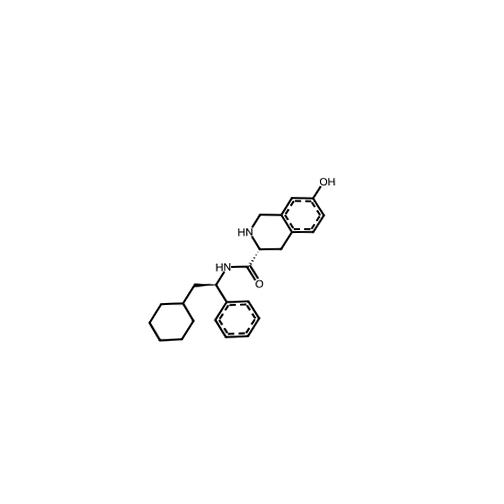 O=C(N[C@H](CC1CCCCC1)c1ccccc1)[C@H]1Cc2ccc(O)cc2CN1